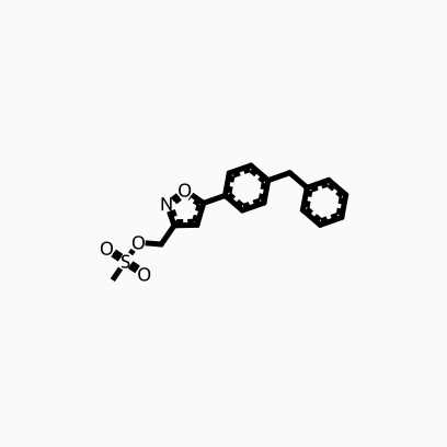 CS(=O)(=O)OCc1cc(-c2ccc(Cc3ccccc3)cc2)on1